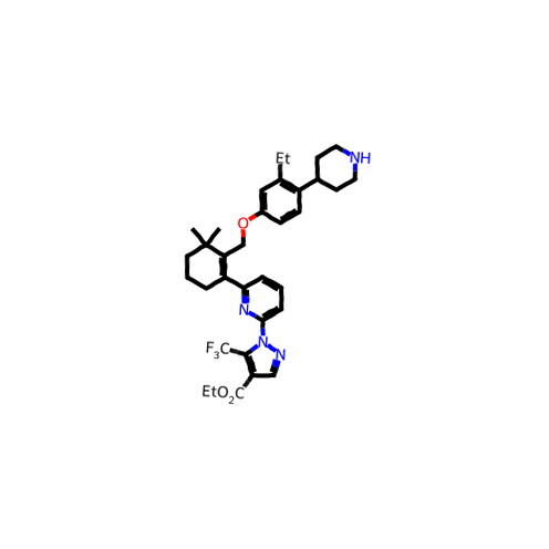 CCOC(=O)c1cnn(-c2cccc(C3=C(COc4ccc(C5CCNCC5)c(CC)c4)C(C)(C)CCC3)n2)c1C(F)(F)F